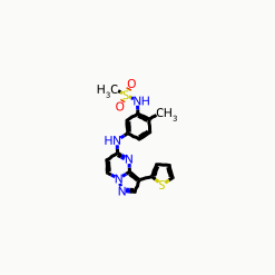 Cc1ccc(Nc2ccn3ncc(-c4cccs4)c3n2)cc1NS(C)(=O)=O